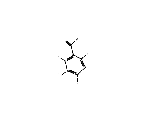 CCOC(=O)c1cc(O)c(O)c([N+](=O)[O-])c1C(=O)C(C)(C)C